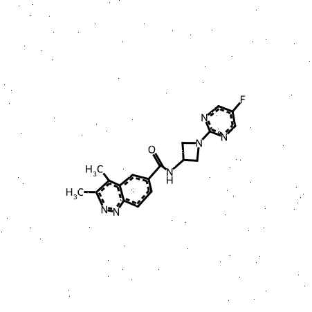 Cc1nnc2ccc(C(=O)NC3CN(c4ncc(F)cn4)C3)cc2c1C